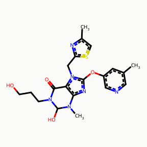 Cc1cncc(Oc2nc3c(n2Cc2nc(C)cs2)C(=O)N(CCCO)C(O)N3C)c1